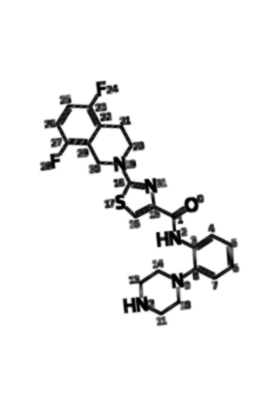 O=C(Nc1ccccc1N1CCNCC1)c1csc(N2CCc3c(F)ccc(F)c3C2)n1